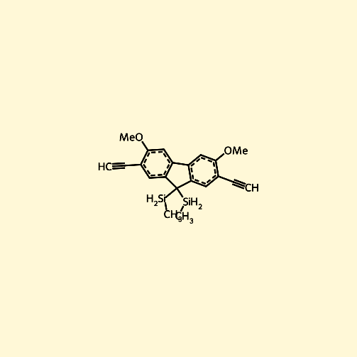 C#Cc1cc2c(cc1OC)-c1cc(OC)c(C#C)cc1C2([SiH2]C)[SiH2]C